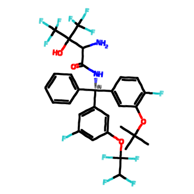 CC(C)(C)Oc1cc([C@](NC(=O)C(N)C(O)(C(F)(F)F)C(F)(F)F)(c2ccccc2)c2cc(F)cc(OC(F)(F)C(F)F)c2)ccc1F